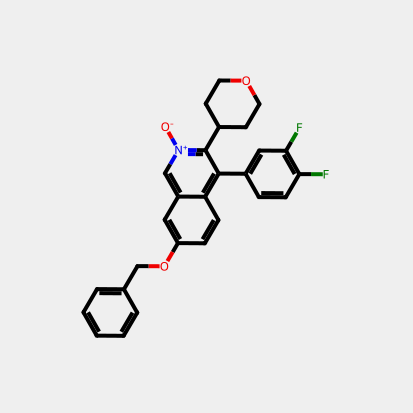 [O-][n+]1cc2cc(OCc3ccccc3)ccc2c(-c2ccc(F)c(F)c2)c1C1CCOCC1